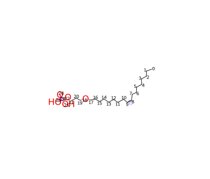 CCCCCCCC/C=C\CCCCCCCCOCCCOP(=O)(O)O